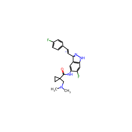 CN(C)CC1(C(=O)Nc2cc3c(/C=C/c4ccc(F)cc4)n[nH]c3cc2F)CC1